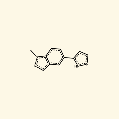 Cn1ncc2cc(-c3ccn[nH]3)ccc21